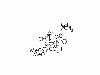 COc1ccc([C@H](Cc2c(Cl)c[n+]([O-])cc2Cl)c2cc(CNC(C(=O)OCCCN(C)C)c3ccccc3)sc2C(=O)O)cc1OC